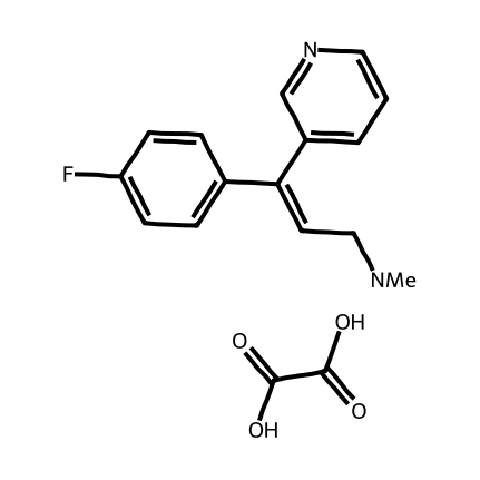 CNCC=C(c1ccc(F)cc1)c1cccnc1.O=C(O)C(=O)O